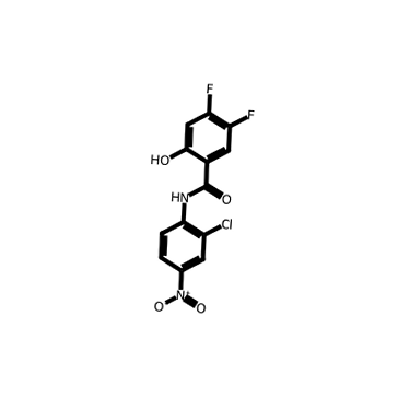 O=C(Nc1ccc([N+](=O)[O-])cc1Cl)c1cc(F)c(F)cc1O